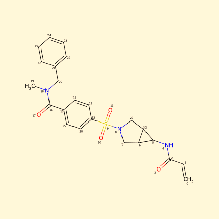 C=CC(=O)NC1C2CN(S(=O)(=O)c3ccc(C(=O)N(C)Cc4ccccc4)cc3)CC21